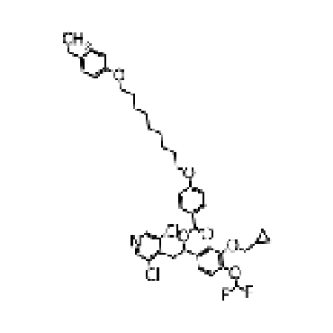 CCc1ccc(OCCCCCCCCCOc2ccc(C(=O)OC(Cc3c(Cl)cncc3Cl)c3ccc(OC(F)F)c(OCC4CC4)c3)cc2)cc1